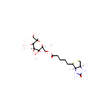 CC1(O)[C@@](C)(COC(=O)CCCCC2SC[C@@H]3NC(=O)N[C@H]23)OC(C)(CO)[C@@](C)(O)[C@@]1(C)O